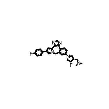 CN(C)C[C@@H]1CN(c2ccc3c(c2)Cn2cc(-c4ccc(F)cc4)cc2-c2ncnn2-3)C[C@@H]1F